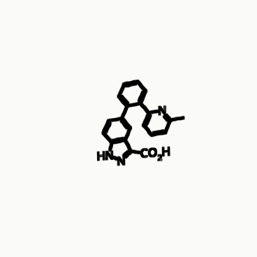 Cc1cccc(-c2ccccc2-c2ccc3[nH]nc(C(=O)O)c3c2)n1